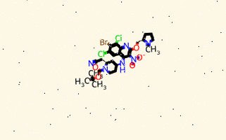 CN1CCC[C@H]1COc1nc2c(Cl)c(Br)c(Cl)cc2c(N[C@H]2CCN(C(=O)OC(C)(C)C)[C@H](CC#N)C2)c1[N+](=O)[O-]